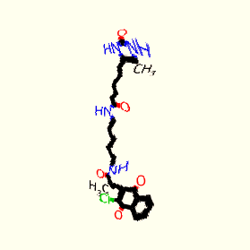 C/C(=C\C1=C(Cl)C(=O)c2ccccc2C1=O)C(=O)NCCCCCCNC(=O)CCCCCC1NC(=O)N[C@H]1C